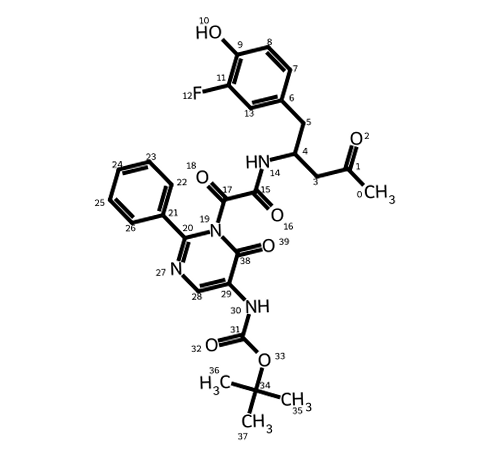 CC(=O)CC(Cc1ccc(O)c(F)c1)NC(=O)C(=O)n1c(-c2ccccc2)ncc(NC(=O)OC(C)(C)C)c1=O